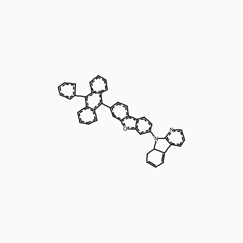 C1=CCC2C(=C1)c1cccnc1N2c1ccc2c(c1)oc1cc(-c3c4ccccc4c(-c4ccccc4)c4ccccc34)ccc12